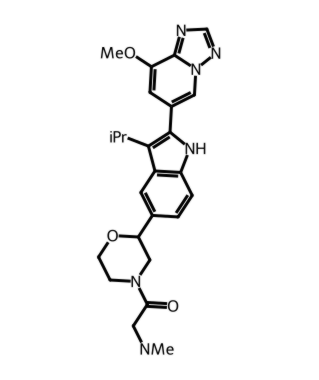 CNCC(=O)N1CCOC(c2ccc3[nH]c(-c4cc(OC)c5ncnn5c4)c(C(C)C)c3c2)C1